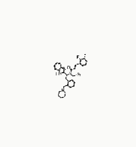 CC(C)CN(C(=O)C=Cc1cccc(F)c1F)C(Cc1ccccc1CN1CCCCC1)c1nc2ccccc2[nH]1